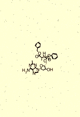 Cc1nc(N)c2ncn([C@H]3CC(O)[C@@H](COP(=O)(N[C@@H](C)C(=O)OCc4ccccc4)Oc4ccccc4)O3)c2n1